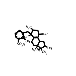 CC1CC(O)C2=C(CCC3(C)C2CC(O)C3(C)C)C1(C)Cc1cccc(C(=O)O)c1O